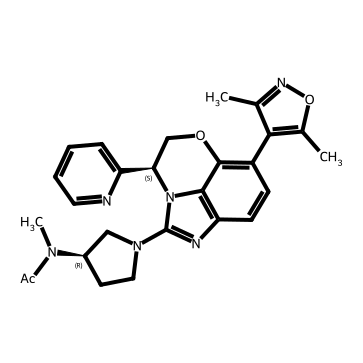 CC(=O)N(C)[C@@H]1CCN(c2nc3ccc(-c4c(C)noc4C)c4c3n2[C@@H](c2ccccn2)CO4)C1